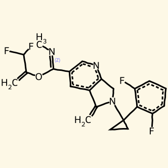 C=C(O/C(=N\C)c1cnc2c(c1)C(=C)N(C1(c3c(F)cccc3F)CC1)C2)C(F)F